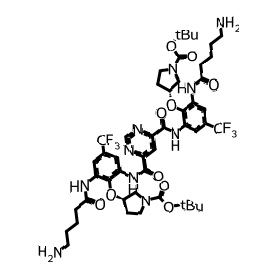 CC(C)(C)OC(=O)N1CC[C@@H](Oc2c(NC(=O)CCCCN)cc(C(F)(F)F)cc2NC(=O)c2cc(C(=O)Nc3cc(C(F)(F)F)cc(NC(=O)CCCCN)c3O[C@@H]3CCN(C(=O)OC(C)(C)C)C3)ncn2)C1